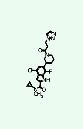 CN(C(=O)c1cc2c(Cl)cc(C3=CCCN(C(=O)CCn4ccnn4)C3)c(F)c2[nH]1)C1CC1